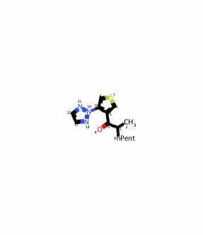 CCCCCC(C)C(=O)c1cscc1-n1nccn1